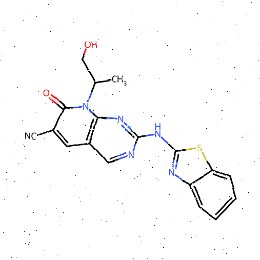 CC(CO)n1c(=O)c(C#N)cc2cnc(Nc3nc4ccccc4s3)nc21